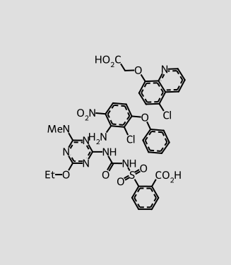 CCOc1nc(NC)nc(NC(=O)NS(=O)(=O)c2ccccc2C(=O)O)n1.Nc1c([N+](=O)[O-])ccc(Oc2ccccc2)c1Cl.O=C(O)COc1ccc(Cl)c2cccnc12